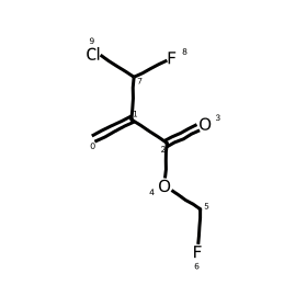 C=C(C(=O)OCF)C(F)Cl